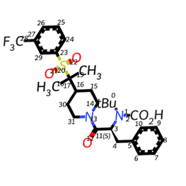 CC(C)(C)N(C(=O)O)[C@@H](Cc1ccccc1)C(=O)N1CCC(C(C)(C)S(=O)(=O)c2cccc(C(F)(F)F)c2)CC1